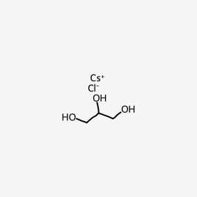 OCC(O)CO.[Cl-].[Cs+]